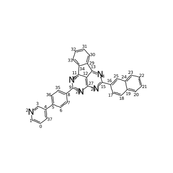 c1cncc(-c2ccc(-c3nc4c5c(nc(-c6ccc7ccccc7c6)nc5n3)-c3ccccc3-4)cc2)c1